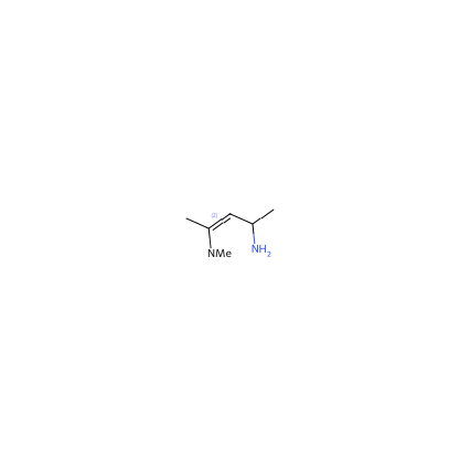 CN/C(C)=C\C(C)N